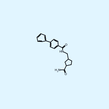 NC(=O)C1CCC(CNC(=O)c2ccc(-c3ccccc3)cc2)C1